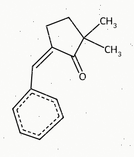 CC1(C)CCC(=Cc2ccccc2)C1=O